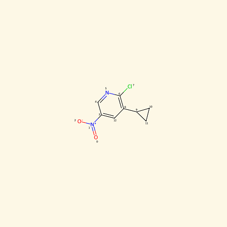 O=[N+]([O-])c1cnc(Cl)c(C2CC2)c1